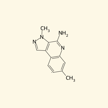 Cc1[c]cc2c(c1)nc(N)c1c2cnn1C